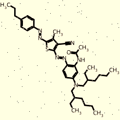 CCCCC(CC)CN(CC(CC)CCCC)c1ccc(N=Nc2sc(N=Nc3ccc(CCC)cc3)c(C)c2C#N)c(NC(C)=O)c1